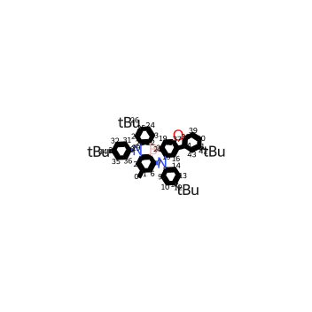 Cc1cc2c3c(c1)N(c1ccc(C(C)(C)C)cc1)c1cc4c(cc1B3c1ccc(C(C)(C)C)cc1N2c1ccc(C(C)(C)C)cc1)oc1ccc(C(C)(C)C)cc14